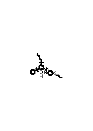 CCCCCC(C)(C)c1cc(-n2nc3ccc(SCCCC)cc3n2)c(O)c(C(C)(C)c2ccccc2)c1